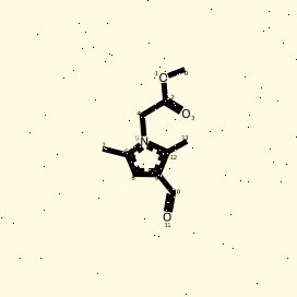 COC(=O)Cn1c(C)cc(C=O)c1C